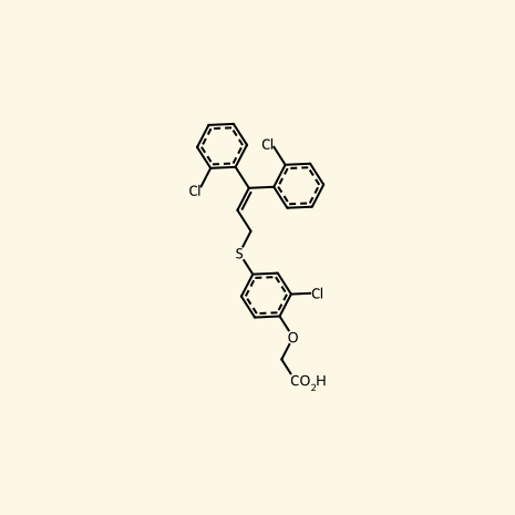 O=C(O)COc1ccc(SCC=C(c2ccccc2Cl)c2ccccc2Cl)cc1Cl